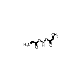 C=CC(=O)ONOC(=O)C=C